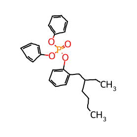 CCCCC(CC)Cc1ccccc1OP(=O)(Oc1ccccc1)Oc1ccccc1